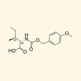 CC[C@H](C)[C@H](NC(=O)OCc1ccc(OC)cc1)C(=O)O